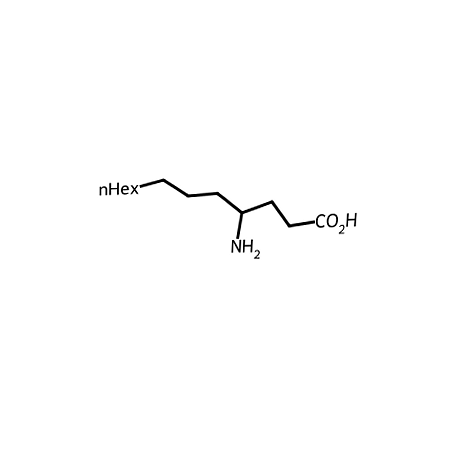 CCCCCCCCCC(N)CCC(=O)O